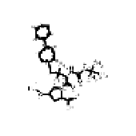 COC1CC(C(=O)O)N(C(=O)[C@@H](NC(=O)NC(C)(C)C)C(C)(C)Cc2ccc(-c3ccccc3)cc2)C1